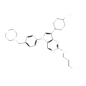 CCCCNc1ncc2c(n1)c(C1CCC(O)CC1)cn2-c1ccc(CN2CCOCC2)cc1